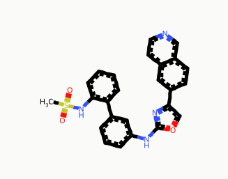 CS(=O)(=O)Nc1ccccc1-c1cccc(Nc2nc(-c3ccc4cnccc4c3)co2)c1